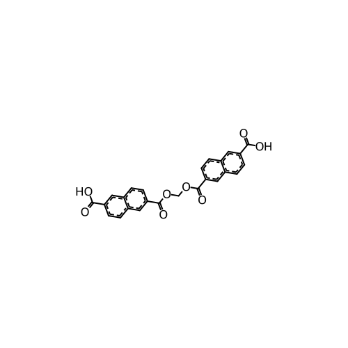 O=C(O)c1ccc2cc(C(=O)OCOC(=O)c3ccc4cc(C(=O)O)ccc4c3)ccc2c1